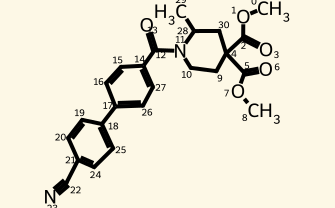 COC(=O)C1(C(=O)OC)CCN(C(=O)c2ccc(-c3ccc(C#N)cc3)cc2)C(C)C1